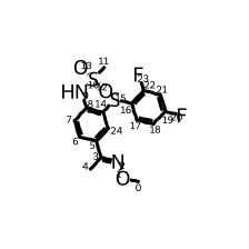 CON=C(C)c1ccc(NS(C)(=O)=O)c(Sc2ccc(F)cc2F)c1